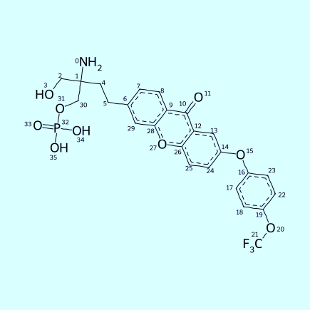 NC(CO)(CCc1ccc2c(=O)c3cc(Oc4ccc(OC(F)(F)F)cc4)ccc3oc2c1)COP(=O)(O)O